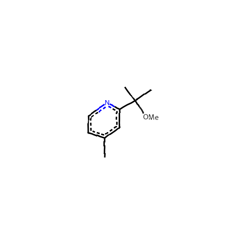 COC(C)(C)c1cc(C)ccn1